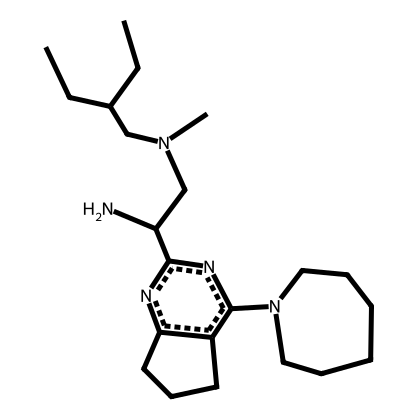 CCC(CC)CN(C)CC(N)c1nc2c(c(N3CCCCCC3)n1)CCC2